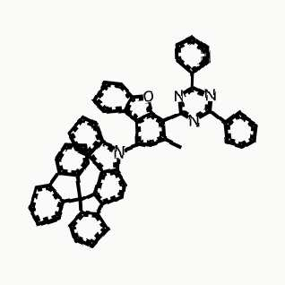 Cc1cc(-n2c3ccccc3c3c4c(ccc32)-c2ccccc2C42c3ccccc3-c3ccccc32)c2c(oc3ccccc32)c1-c1nc(-c2ccccc2)nc(-c2ccccc2)n1